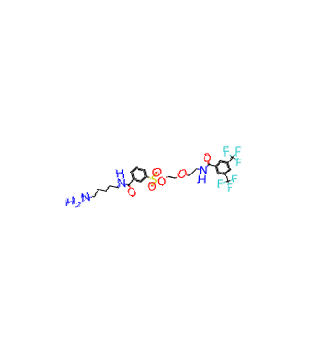 NCCCCCNC(=O)c1cccc(S(=O)(=O)OCCOCCNC(=O)c2cc(C(F)(F)F)cc(C(F)(F)F)c2)c1